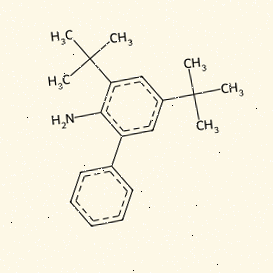 CC(C)(C)c1cc(-c2ccccc2)c(N)c(C(C)(C)C)c1